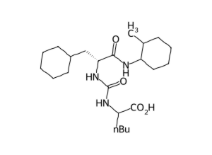 CCCCC(NC(=O)N[C@H](CC1CCCCC1)C(=O)NC1CCCCC1C)C(=O)O